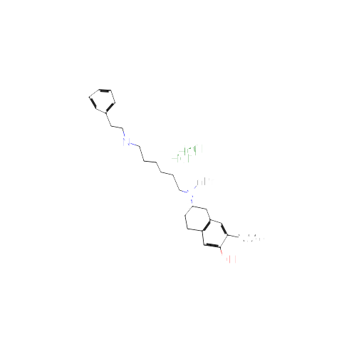 CCCN(CCCCCCNCCc1ccccc1)[C@@H]1CCc2cc(O)c(NC)cc2C1.Cl.Cl.Cl